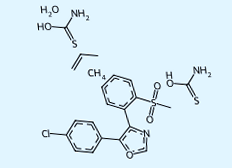 C.C=CC.CS(=O)(=O)c1ccccc1-c1ncoc1-c1ccc(Cl)cc1.NC(O)=S.NC(O)=S.O